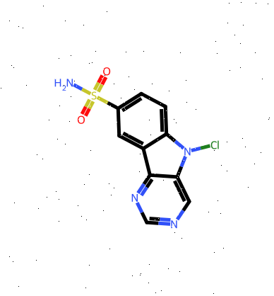 NS(=O)(=O)c1ccc2c(c1)c1ncncc1n2Cl